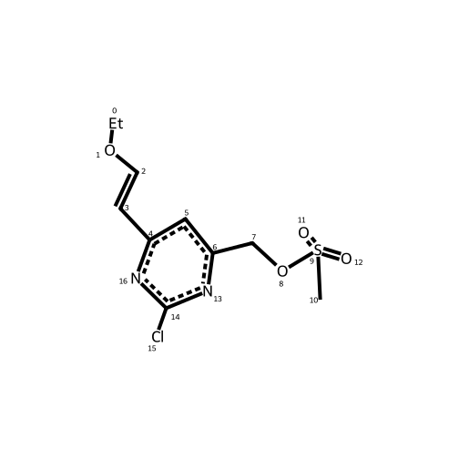 CCOC=Cc1cc(COS(C)(=O)=O)nc(Cl)n1